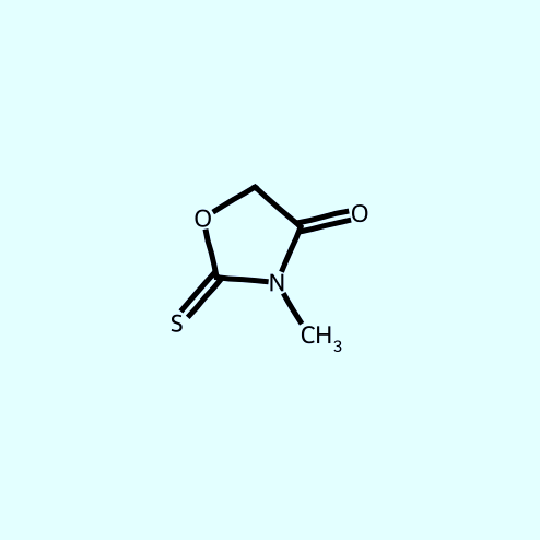 CN1C(=O)COC1=S